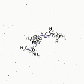 C/C=C\C[C@@H](C/C=C\NC(=O)[C@@H](NC(=O)\C=C/C=C\C(C)=C\[C@H](C)[C@@H]1CC=C(OC)[C@H](O)O1)C(C)(C)C)OC(N)=O